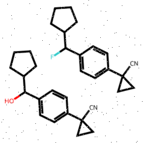 N#CC1(c2ccc(C(F)C3CCCC3)cc2)CC1.N#CC1(c2ccc(C(O)C3CCCC3)cc2)CC1